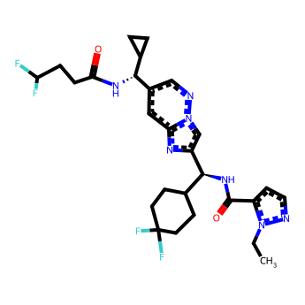 CCn1nccc1C(=O)N[C@H](c1cn2ncc([C@H](NC(=O)CCC(F)F)C3CC3)cc2n1)C1CCC(F)(F)CC1